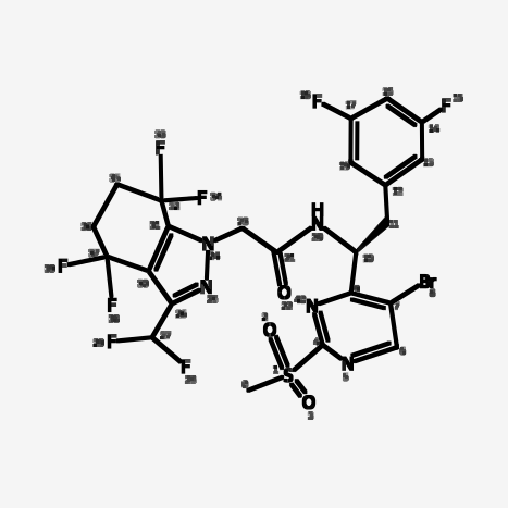 CS(=O)(=O)c1ncc(Br)c([C@H](Cc2cc(F)cc(F)c2)NC(=O)Cn2nc(C(F)F)c3c2C(F)(F)CCC3(F)F)n1